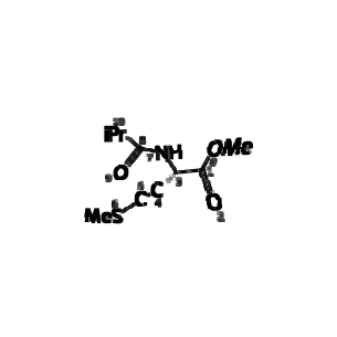 COC(=O)[C@H](CCSC)NC(=O)C(C)C